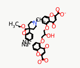 CCOC(=O)C1(c2ccccc2)CCN(C)CC1.O=C([O-])c1cc(=O)c2c(OCC(O)COc3cccc4oc(C(=O)[O-])cc(=O)c34)cccc2o1.[Na+].[Na+]